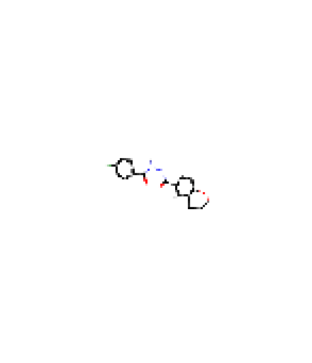 Cc1c(C(=O)NN(C(=O)c2ccc(F)cc2)C(C)(C)C)ccc2c1CCCO2